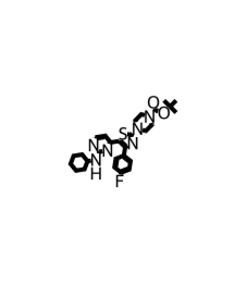 CC(C)(C)OC(=O)N1CCN(c2nc(-c3ccc(F)cc3)c(-c3ccnc(NC4CCCCC4)n3)s2)CC1